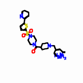 C=C(N)/C=C(\C=C/N)CN1CCC(C(=O)N2CCN(S(=O)(=O)c3ccc(C4=CCCC=N4)s3)CC2)CC1